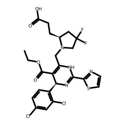 CCOC(=O)C1=C(CN2CC(F)(F)C[C@@H]2CCC(=O)O)NC(c2nccs2)=N[C@H]1c1ccc(Cl)cc1Cl